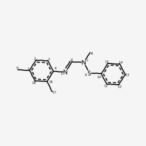 Cc1ccc(N=CN(C)Sc2ccccc2)c(C)c1